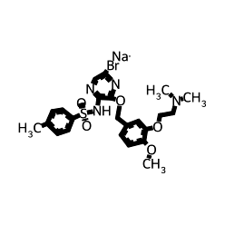 COc1ccc(COc2nc(Br)cnc2NS(=O)(=O)c2ccc(C)cc2)cc1OCCN(C)C.[Na]